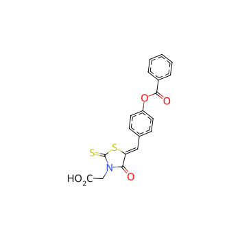 O=C(O)CN1C(=O)C(=Cc2ccc(OC(=O)c3ccccc3)cc2)SC1=S